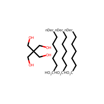 CCCCCCCCCCCCCCCC(=O)O.CCCCCCCCCCCCCCCC(=O)O.CCCCCCCCCCCCCCCC(=O)O.OCC(CO)(CO)CO